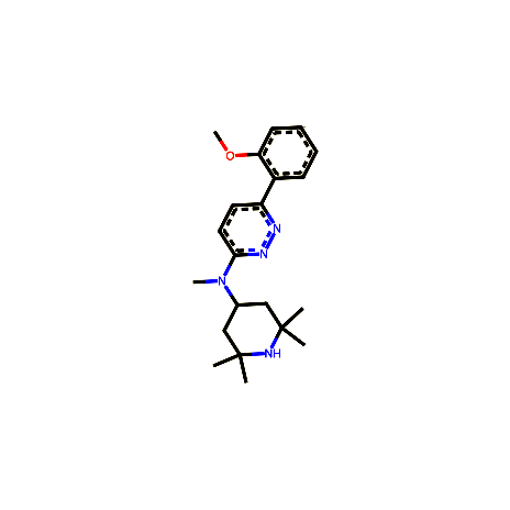 COc1c[c]ccc1-c1ccc(N(C)C2CC(C)(C)NC(C)(C)C2)nn1